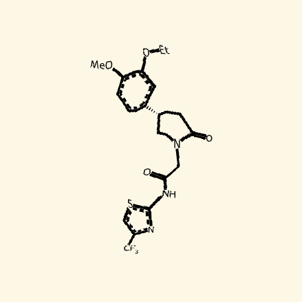 CCOc1cc([C@@H]2CC(=O)N(CC(=O)Nc3nc(C(F)(F)F)cs3)C2)ccc1OC